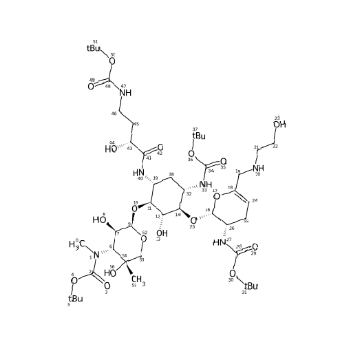 CN(C(=O)OC(C)(C)C)[C@@H]1[C@@H](O)[C@@H](O[C@@H]2[C@@H](O)[C@H](O[C@@H]3OC(CNCCO)=CC[C@@H]3NC(=O)OC(C)(C)C)[C@@H](NC(=O)OC(C)(C)C)C[C@H]2NC(=O)[C@H](O)CCNC(=O)OC(C)(C)C)OC[C@]1(C)O